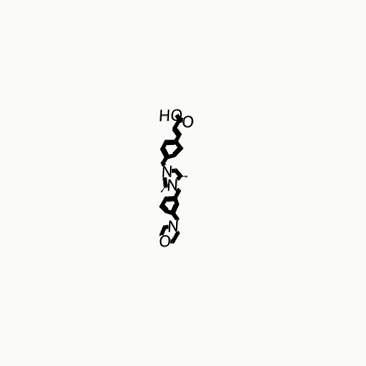 C[C@@H]1CN(Cc2ccc(/C=C/C(=O)O)cc2)C[C@H](C)N1Cc1cccc(CN2CCOCC2)c1